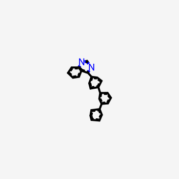 c1ccc(-c2cccc(-c3ccc(-c4ncnc5ccccc45)cc3)c2)cc1